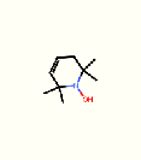 CC1(C)C=[C]CC(C)(C)N1O